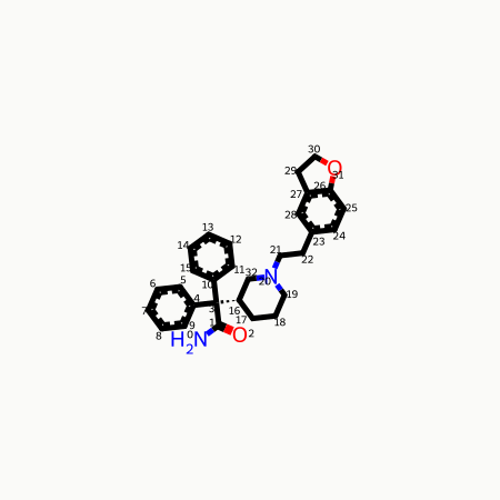 NC(=O)C(c1ccccc1)(c1ccccc1)[C@H]1CCCN(CCc2ccc3c(c2)CCO3)C1